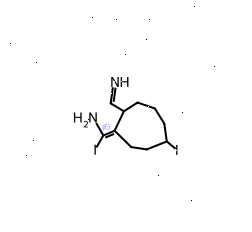 N=CC1CCCC(I)CC/C1=C(/N)I